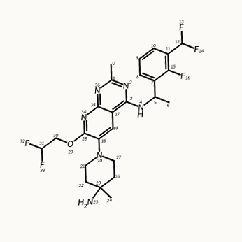 Cc1nc(NC(C)c2cccc(C(F)F)c2F)c2cc(N3CCC(C)(N)CC3)c(OCC(F)F)nc2n1